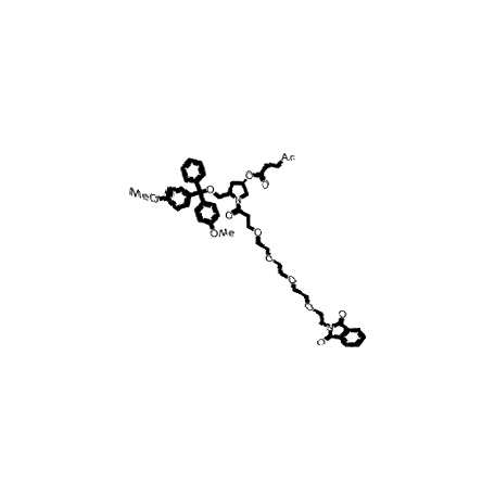 COc1ccc(C(OCC2C[C@@H](OC(=O)CCC(C)=O)CN2C(=O)CCOCCOCCOCCOCCN2C(=O)c3ccccc3C2=O)(c2ccccc2)c2ccc(OC)cc2)cc1